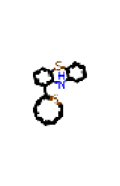 c1cccsc(-c2cccc3c2Nc2ccccc2S3)ccc1